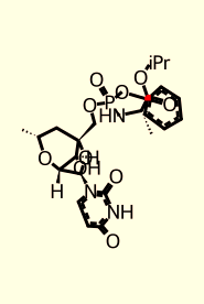 CC(C)OC(=O)[C@H](C)N[P@](=O)(OC[C@@]12C[C@@H](C)O[C@@H]([C@H](n3ccc(=O)[nH]c3=O)O1)[C@@H]2O)Oc1ccccc1